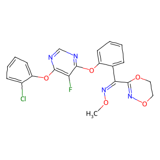 CO/N=C(\C1=NOCCO1)c1ccccc1Oc1ncnc(Oc2ccccc2Cl)c1F